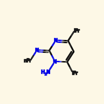 CCC/N=c1/nc(C(C)C)cc(C(C)C)n1N